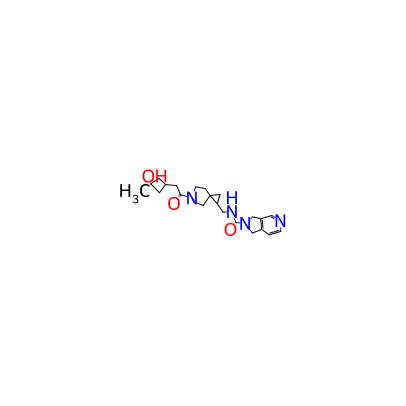 CC1(O)CC(CC(=O)N2CCC3(CC2)CC3CNC(=O)N2Cc3ccncc3C2)C1